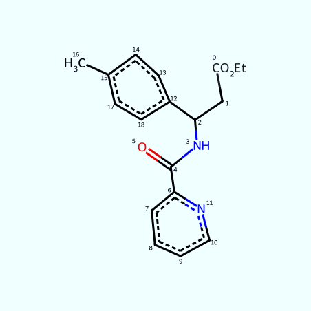 CCOC(=O)CC(NC(=O)c1ccccn1)c1ccc(C)cc1